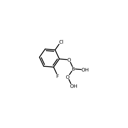 OOB(O)Oc1c(F)cccc1Cl